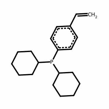 C=Cc1ccc(P(C2CCCCC2)C2CCCCC2)cc1